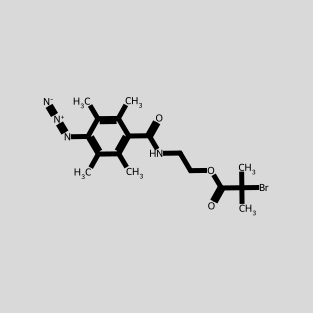 Cc1c(C)c(C(=O)NCCOC(=O)C(C)(C)Br)c(C)c(C)c1N=[N+]=[N-]